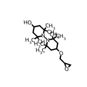 CC1(C)CC(O)CC(C)(C)N1N1C(C)(C)CC(OCC2CO2)CC1(C)C